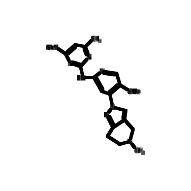 CNc1cc(C)nc(Nc2cc(-n3cc4c(n3)CCN(C)C4)c(OC)cn2)n1